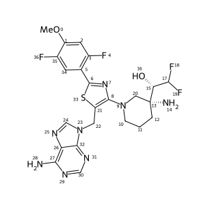 COc1cc(F)c(-c2nc(N3CCC[C@](N)([C@H](O)C(F)F)C3)c(Cn3cnc4c(N)ncnc43)s2)cc1F